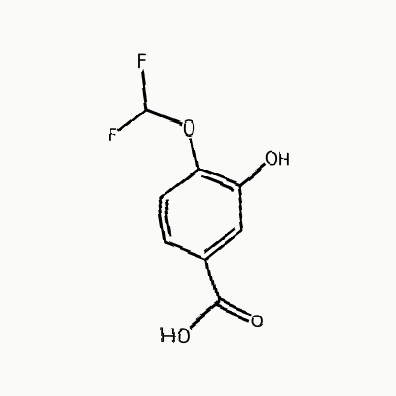 O=C(O)c1ccc(OC(F)F)c(O)c1